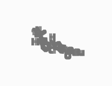 Cc1nn(C)cc1-c1cc2c(NC3CC4CN(C(=O)OC(C)(C)C)CC4C3)c(Cl)ccc2[nH]1